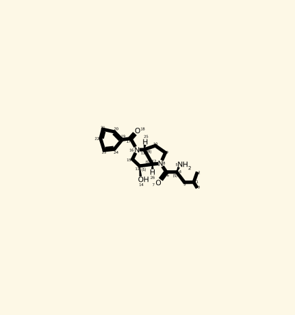 CC(C)C[C@H](N)C(=O)N1CC[C@@H]2[C@H]1[C@@H](O)CN2C(=O)c1ccccc1